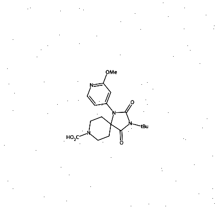 COc1cc(N2C(=O)N(C(C)(C)C)C(=O)C23CCN(C(=O)O)CC3)ccn1